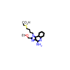 CCOCc1nc2c(N)nc3ccccc3c2n1CCCCSCC(=O)O